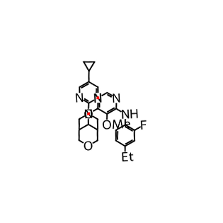 CCc1ccc(Nc2ncnc(OC3C4COCC3CN(c3ncc(C5CC5)cn3)C4)c2OC)c(F)c1